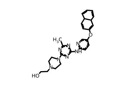 Cc1nc(Nc2ccc(OC3=CC4C=CC=CC4C=C3)cn2)nc(N2CCN(CCO)CC2)n1